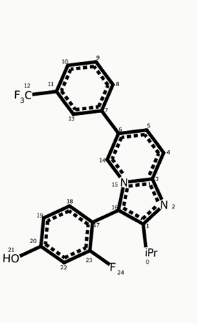 CC(C)c1nc2ccc(-c3cccc(C(F)(F)F)c3)cn2c1-c1ccc(O)cc1F